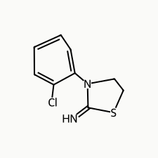 N=C1SCCN1c1ccccc1Cl